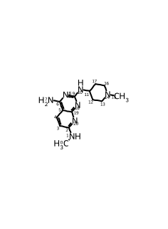 CNc1ccc2c(N)nc(NC3CCN(C)CC3)nc2n1